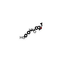 CC1C2Cc3ccc(C(=O)NCCc4ccc(-c5ccc(O)cc5)cc4)cc3C1(C)CCN2CC1CC1